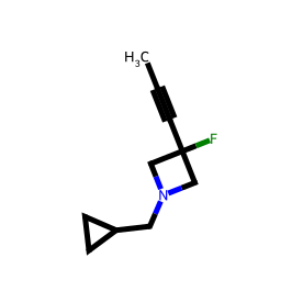 CC#CC1(F)CN(CC2CC2)C1